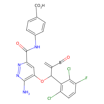 C=C(B=O)C(Oc1cc(C(=O)Nc2ccc(C(=O)O)cc2)nnc1N)c1c(Cl)ccc(F)c1Cl